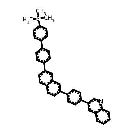 C[Si](C)(C)c1ccc(-c2ccc(-c3ccc4ccc(-c5ccc(-c6cnc7ccccc7c6)cc5)cc4c3)cc2)cc1